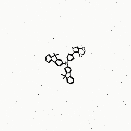 CC1(C)c2ccccc2-c2ccc(N(c3ccc(-c4scc5c4OCCO5)cc3)c3ccc4c(c3)C(C)(C)c3ccccc3-4)cc21